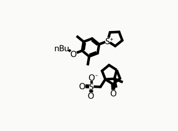 CC1(C)C2CCC1(CS(=O)(=O)[O-])C(=O)C2.CCCCOc1c(C)cc([S+]2CCCC2)cc1C